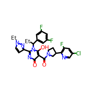 CCC(c1cc(F)cc(F)c1)n1c(-c2ccn(CC)n2)nc(=O)c(C(=O)N2CCC(c3ncc(Cl)cc3F)C2)c1O